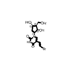 O=c1[nH]c(=O)n([C@H]2C[C@H](O)[C@@H](CO)[C@H]2O)cc1C=CBr